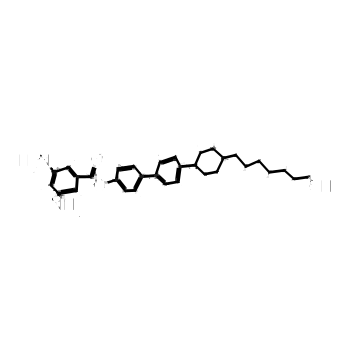 CCCCCCCCC1CCC(c2ccc(-c3ccc(OC(=O)c4cc(N)cc(N)c4)cc3)cc2)CC1